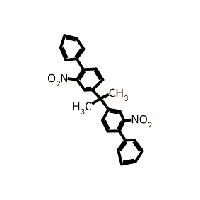 CC(C)(c1ccc(-c2ccccc2)c([N+](=O)[O-])c1)c1ccc(-c2ccccc2)c([N+](=O)[O-])c1